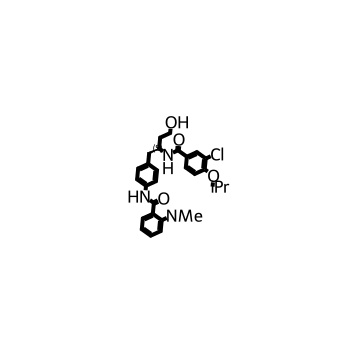 CNc1ccccc1C(=O)Nc1ccc(C[C@@H](CCO)NC(=O)c2ccc(OC(C)C)c(Cl)c2)cc1